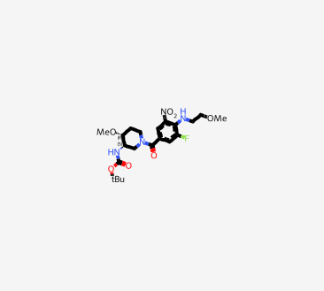 COCCNc1c(F)cc(C(=O)N2CC[C@@H](OC)[C@@H](NC(=O)OC(C)(C)C)C2)cc1[N+](=O)[O-]